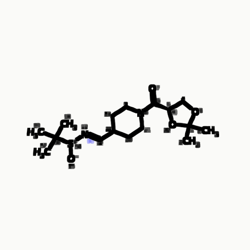 CC1(C)OC[C@H](C(=O)N2CCC(/C=N/[S+]([O-])C(C)(C)C)CC2)O1